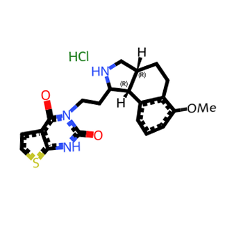 COc1cccc2c1CC[C@H]1CNC(CCn3c(=O)[nH]c4sccc4c3=O)[C@@H]21.Cl